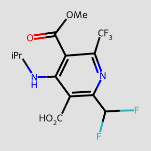 COC(=O)c1c(C(F)(F)F)nc(C(F)F)c(C(=O)O)c1NC(C)C